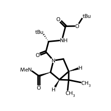 CNC(=O)[C@@H]1[C@@H]2[C@H](CN1C(=O)[C@@H](NC(=O)OC(C)(C)C)C(C)(C)C)C2(C)C